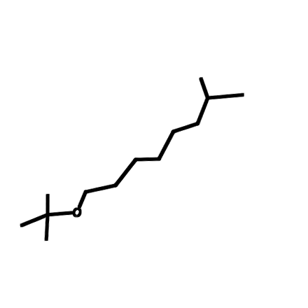 CC(C)CCCCCCOC(C)(C)C